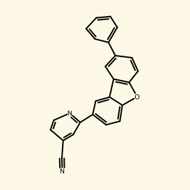 N#Cc1ccnc(-c2ccc3oc4ccc(-c5ccccc5)cc4c3c2)c1